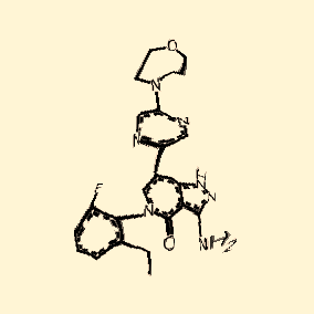 CCc1cccc(F)c1-n1cc(-c2cnc(N3CCOCC3)cn2)c2[nH]nc(N)c2c1=O